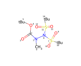 CN(C(=O)OC(C)(C)C)N(S(=O)(=O)C(C)(C)C)S(=O)(=O)C(C)(C)C